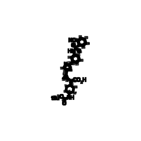 CC(C)(C)OC(=O)NC1CCC(N(C(=O)O)C2CC2c2cnc(-c3cccc(NS(=O)(=O)c4ccccc4C#N)c3)s2)CC1